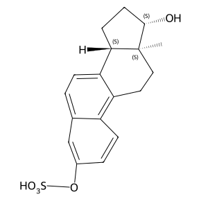 C[C@]12CCc3c(ccc4cc(OS(=O)(=O)O)ccc34)[C@@H]1CC[C@@H]2O